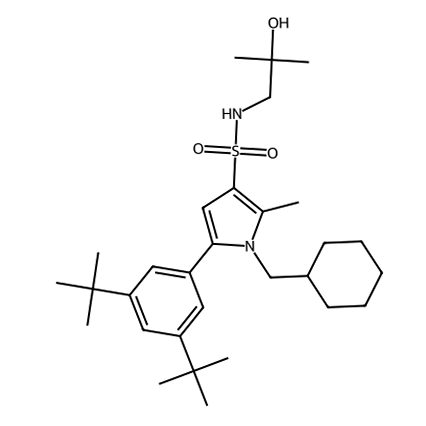 Cc1c(S(=O)(=O)NCC(C)(C)O)cc(-c2cc(C(C)(C)C)cc(C(C)(C)C)c2)n1CC1CCCCC1